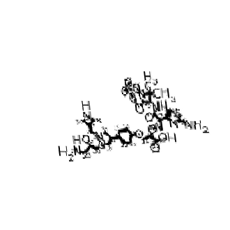 CC1(C)[C@H](NC(=O)/C(=N\OC(COc2ccc(-c3cn(CC(O)CN)[n+](CC4CNC4)c3)cc2)C(=O)O)c2csc(N)n2)C(=O)N1OS(=O)(=O)[O-]